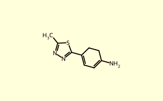 Cc1nnc(C2=CC=C(N)CC2)s1